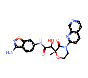 C[C@]1(C(O)C(=O)Nc2ccc3c(N)noc3c2)OCCN(c2ccc3ccncc3n2)C1=O